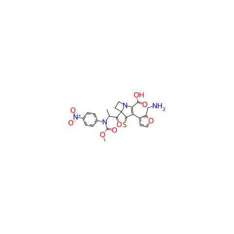 COC(=O)N(c1ccc([N+](=O)[O-])cc1)C(C)C(=O)C12CCN1C(C(=O)O)=C(c1ccoc1CN)C2=S